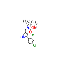 CC(C)(C)CN(Cc1c[nH]c(-c2ccc(Cl)cc2F)c1)C(=O)O